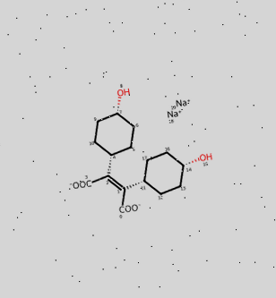 O=C([O-])C(=C(C(=O)[O-])[C@H]1CC[C@@H](O)CC1)[C@H]1CC[C@@H](O)CC1.[Na+].[Na+]